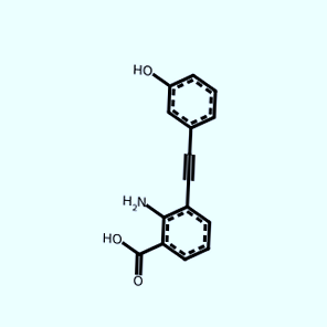 Nc1c(C#Cc2cccc(O)c2)cccc1C(=O)O